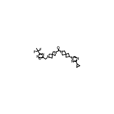 CC(F)(F)c1noc(CN2CC3(C2)CN(C(=O)N2CC4(CC(n5cnc(C6CC6)n5)C4)C2)C3)n1